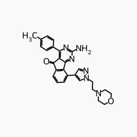 Cc1ccc(-c2nc(N)nc3c2C(=O)c2cccc(-c4cnn(CCN5CCOCC5)c4)c2-3)cc1